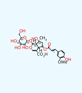 COc1cc(/C=C/C(=O)O[C@@H]2C[C@](C)(O)[C@H]3[C@H](O[C@@H]4O[C@H](CO)[C@@H](O)[C@H](O)[C@H]4O)OC=C(C(=O)O)[C@H]32)ccc1O